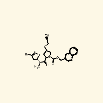 C#CCOC1CC(C(=O)N(C)[C@@H]2CC(Br)=NO2)N(C(=O)OCc2cnc3ccccc3c2)C1